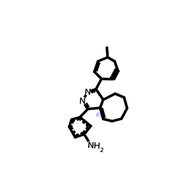 CC1C=CC(C2=NN=C(c3cccc(N)c3)/C3=C/CCCCCC23)C#CC1